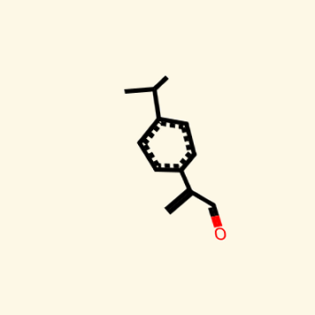 C=C(C=O)c1ccc(C(C)C)cc1